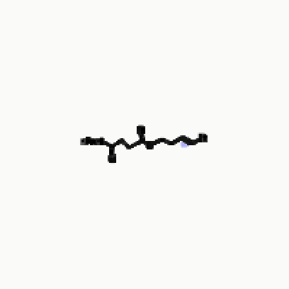 CC/C=C/CCOC(=O)CCC(=O)CCCCC